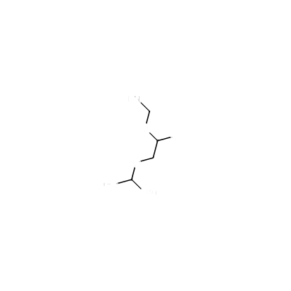 CC(COC(C(C)(C)C)C(C)(C)C)OCN